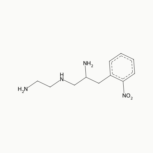 NCCNCC(N)Cc1ccccc1[N+](=O)[O-]